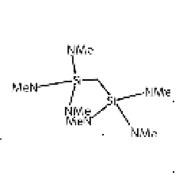 CN[Si](C[Si](NC)(NC)NC)(NC)NC